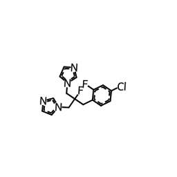 Fc1cc(Cl)ccc1CC(F)(Cn1ccnc1)Cn1ccnc1